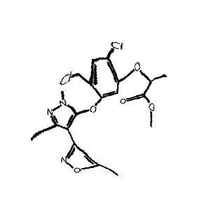 COC(=O)[C@H](C)Oc1cc(Oc2c(-c3cc(C)on3)c(C)nn2C)c(Cl)cc1Cl